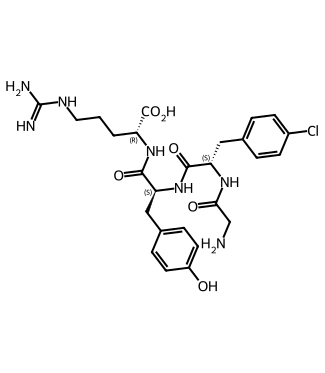 N=C(N)NCCC[C@@H](NC(=O)[C@H](Cc1ccc(O)cc1)NC(=O)[C@H](Cc1ccc(Cl)cc1)NC(=O)CN)C(=O)O